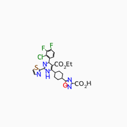 CCOC(=O)C1=C(C2CCC(c3nc(C(=O)O)no3)CC2)NC(c2nccs2)=NC1c1ccc(F)c(F)c1Cl